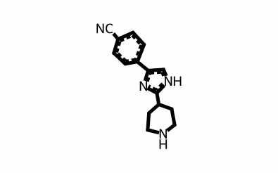 N#Cc1ccc(-c2c[nH]c(C3CCNCC3)n2)cc1